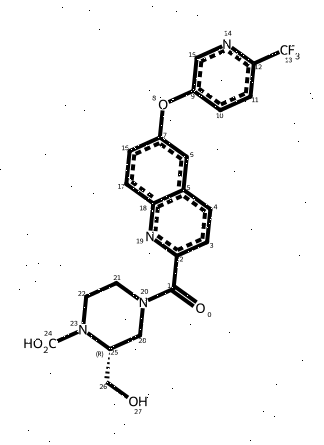 O=C(c1ccc2cc(Oc3ccc(C(F)(F)F)nc3)ccc2n1)N1CCN(C(=O)O)[C@@H](CO)C1